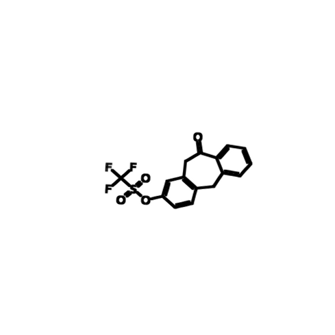 O=C1Cc2cc(OS(=O)(=O)C(F)(F)F)ccc2Cc2ccccc21